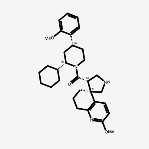 COc1ccc2c(n1)CCC[C@]21CNC[C@H]1C(=O)N1CC[C@@H](c2ccccc2OC)C[C@H]1C1CCCCC1